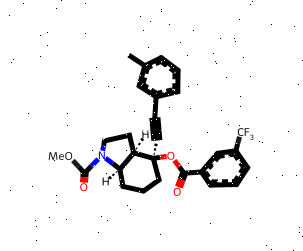 COC(=O)N1CC[C@@H]2[C@H]1CCC[C@]2(C#Cc1cccc(C)c1)OC(=O)c1cccc(C(F)(F)F)c1